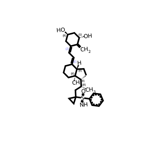 C=C1/C(=C\C=C2/CCC[C@]3(C)[C@@H]([C@H](C)CC4(S(=N)(=O)c5ccccc5)CC4)CC[C@@H]23)C[C@@H](O)C[C@@H]1O